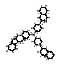 c1ccc2cc(-c3ccc(N(c4ccc(-c5cc6ccccc6cn5)cc4)c4ccc5cc6sc7ccccc7c6cc5c4)cc3)ccc2c1